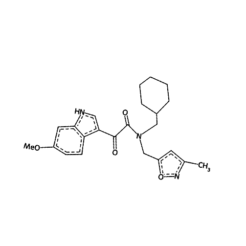 COc1ccc2c(C(=O)C(=O)N(Cc3cc(C)no3)CC3CCCCC3)c[nH]c2c1